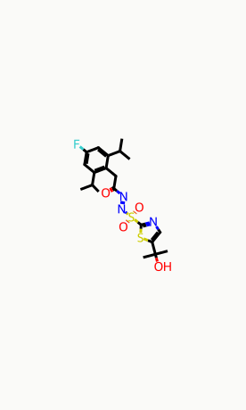 CC(C)c1cc(F)cc(C(C)C)c1CC(=O)N=NS(=O)(=O)c1ncc(C(C)(C)O)s1